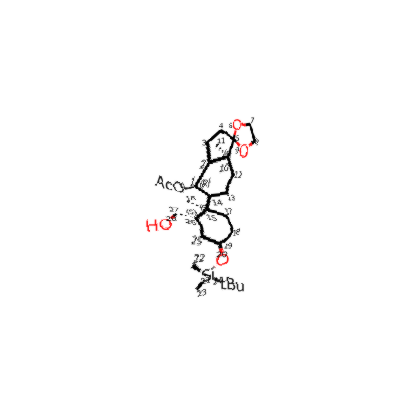 CC(=O)O[C@H]1C2CCC3(OCCO3)[C@@]2(C)CCC1[C@@]1(C)CCC(O[Si](C)(C)C(C)(C)C)C[C@@H]1CO